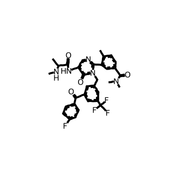 CNC(C)C(=O)Nc1cnc(-c2cc(C(=O)N(C)C)ccc2C)n(Cc2cc(C(=O)c3ccc(F)cc3)cc(C(F)(F)F)c2)c1=O